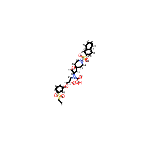 CCS(=O)(=O)c1cccc(OC[C@@H](O)CN(C(=O)O)C2COC3(CCN(S(=O)(=O)c4ccc5ccccc5c4)CC3)C2)c1